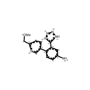 COCc1ccc(-c2ccc(N)cc2-c2nnn[nH]2)cn1